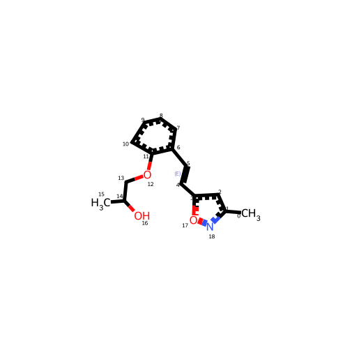 Cc1cc(/C=C/c2ccccc2OCC(C)O)on1